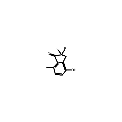 O=C1c2c(I)ccc(O)c2CC1(F)F